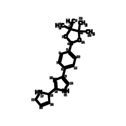 CC1(C)OB(c2ccc(-c3c[nH]c(C4C=CCN4)n3)cc2)OC1(C)C